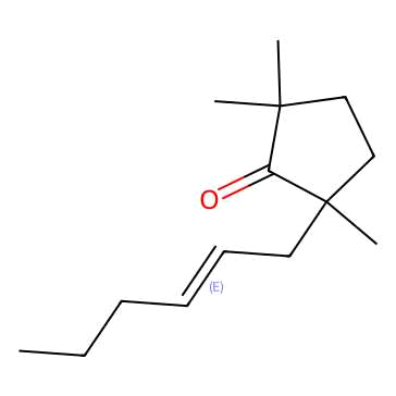 CCC/C=C/CC1(C)CCC(C)(C)C1=O